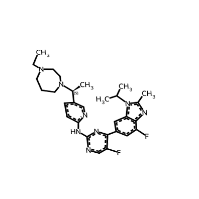 CCN1CCCN([C@@H](C)c2ccc(Nc3ncc(F)c(-c4cc(F)c5nc(C)n(C(C)C)c5c4)n3)nc2)CC1